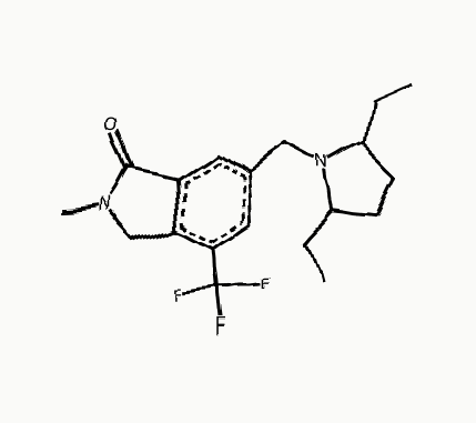 CCC1CCC(CC)N1Cc1cc2c(c(C(F)(F)F)c1)CN(C)C2=O